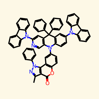 Cc1nn(-c2ccccc2)c2c1c(=O)oc1ccc(N3c4ccc(-n5c6ccccc6c6ccccc65)cc4C(c4ccccc4)(c4ccccc4)c4cc(-n5c6ccccc6c6ccccc65)ncc43)cc12